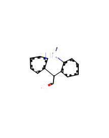 CNc1ccccc1C(C=O)c1ccccc1